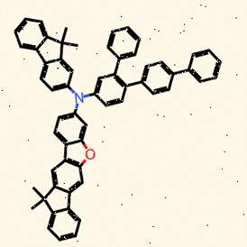 CC1(C)c2ccccc2-c2ccc(N(c3ccc(-c4ccc(-c5ccccc5)cc4)c(-c4ccccc4)c3)c3ccc4c(c3)oc3cc5c(cc34)C(C)(C)c3ccccc3-5)cc21